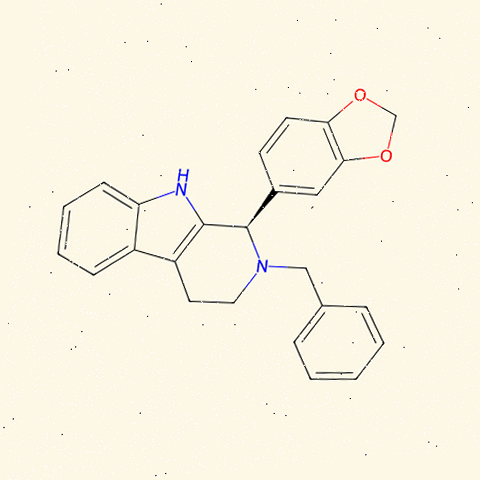 c1ccc(CN2CCc3c([nH]c4ccccc34)[C@H]2c2ccc3c(c2)OCO3)cc1